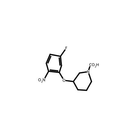 O=C(O)N1CCCC(Oc2cc(F)ccc2[N+](=O)[O-])C1